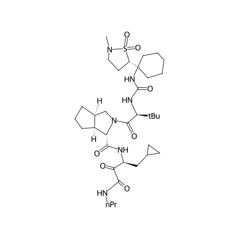 CCCNC(=O)C(=O)[C@H](CC1CC1)NC(=O)[C@@H]1[C@H]2CCC[C@H]2CN1C(=O)[C@@H](NC(=O)NC1([C@@H]2CCN(C)S2(=O)=O)CCCCC1)C(C)(C)C